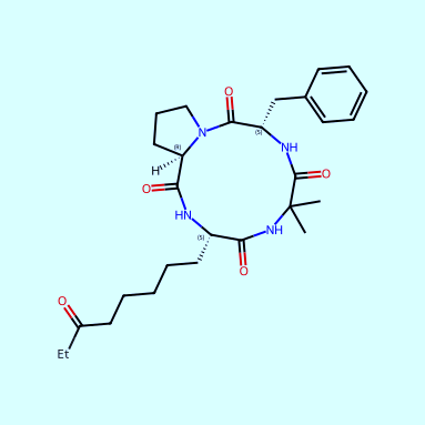 CCC(=O)CCCCC[C@@H]1NC(=O)[C@H]2CCCN2C(=O)[C@H](Cc2ccccc2)NC(=O)C(C)(C)NC1=O